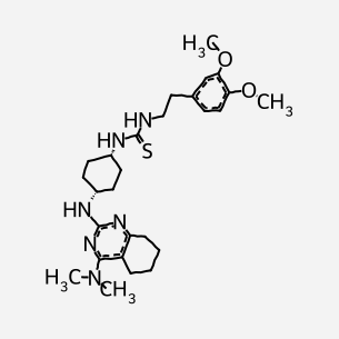 COc1ccc(CCNC(=S)N[C@H]2CC[C@@H](Nc3nc4c(c(N(C)C)n3)CCCC4)CC2)cc1OC